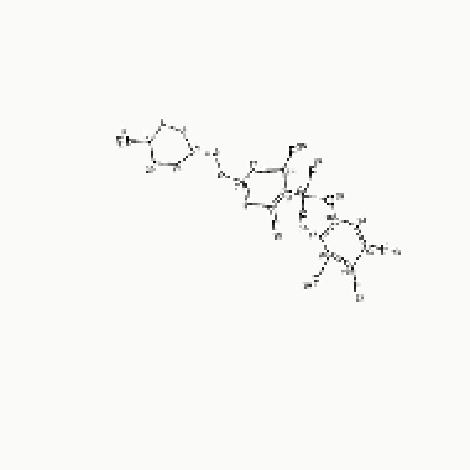 CC[C@H]1CC[C@H](CCc2cc(F)c(C(F)(F)Oc3cc(F)c(F)c(F)c3)c(F)c2)CC1